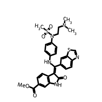 COC(=O)c1ccc2c(c1)NC(=O)C2=C(Nc1ccc(N(CCN(C)C)S(C)(=O)=O)cc1)c1ccc2ncsc2c1